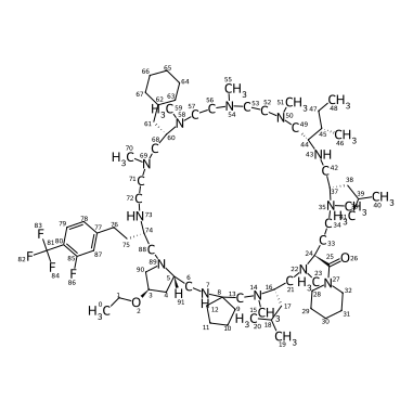 CCO[C@@H]1C[C@H]2CNC3(CCCC3)CN(C)[C@@H](CC(C)C)CN(C)[C@H](C(=O)N3CCCCC3)CCN(C)[C@@H](CC(C)C)CN[C@@H]([C@@H](C)CC)CN(C)CCN(C)CCN(C)[C@@H](CC3CCCCC3)CN(C)CCN[C@@H](CCc3ccc(C(F)(F)F)c(F)c3)CN2C1